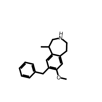 COc1cc2c(cc1Cc1ccccc1)C(C)CNCC2